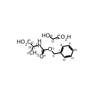 C[C@H](NC(=O)OCc1ccccc1)C(=O)O.O=C(O)CO